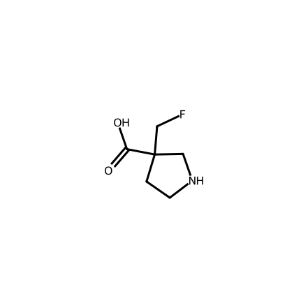 O=C(O)C1(CF)CCNC1